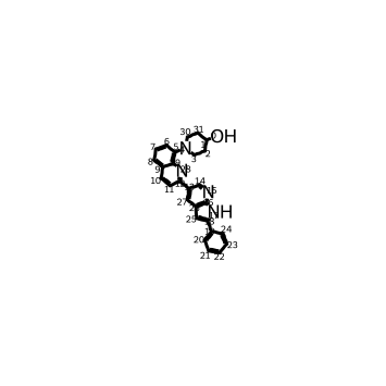 OC1CCN(c2cccc3ccc(-c4cnc5[nH]c(-c6ccccc6)cc5c4)nc23)CC1